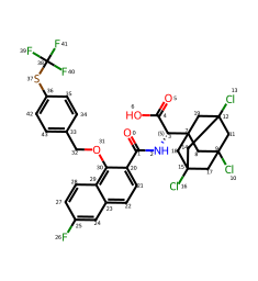 O=C(N[C@H](C(=O)O)C12CC3(Cl)CC(Cl)(CC(Cl)(C3)C1)C2)c1ccc2cc(F)ccc2c1OCc1ccc(SC(F)(F)F)cc1